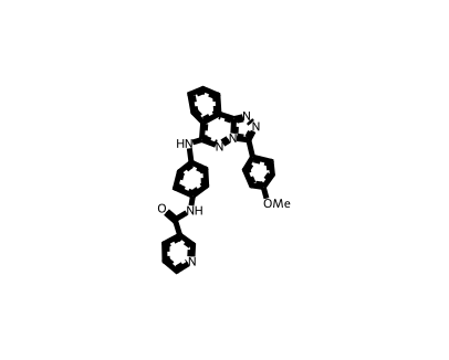 COc1ccc(-c2nnc3c4ccccc4c(Nc4ccc(NC(=O)c5cccnc5)cc4)nn23)cc1